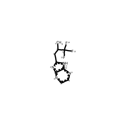 CC(Cc1nc2nccnc2[nH]1)C(F)(F)F